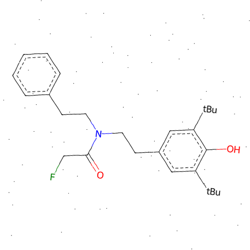 CC(C)(C)c1cc(CCN(CCc2ccccc2)C(=O)CF)cc(C(C)(C)C)c1O